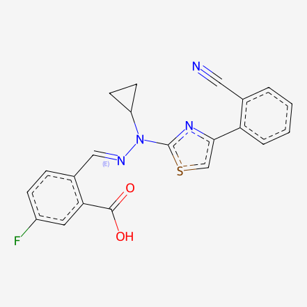 N#Cc1ccccc1-c1csc(N(/N=C/c2ccc(F)cc2C(=O)O)C2CC2)n1